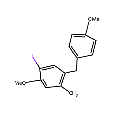 COc1ccc(Cc2cc(I)c(OC)cc2C)cc1